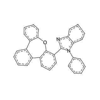 c1ccc(-n2c(-c3cccc4c3Oc3ccccc3-c3ccccc3-4)nc3ccccc32)cc1